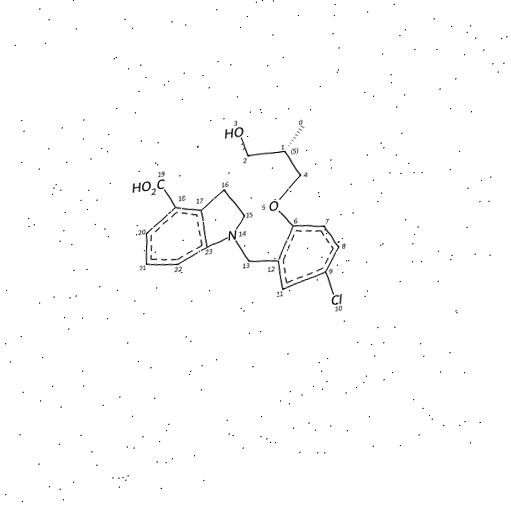 C[C@@H](CO)COc1ccc(Cl)cc1CN1CCc2c(C(=O)O)cccc21